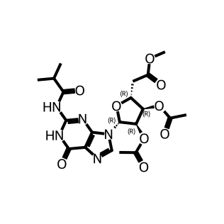 COC(=O)C[C@H]1O[C@@H](n2cnc3c(=O)[nH]c(NC(=O)C(C)C)nc32)[C@H](OC(C)=O)[C@@H]1OC(C)=O